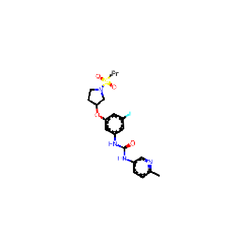 Cc1ccc(NC(=O)Nc2cc(F)cc(OC3CCN(S(=O)(=O)C(C)C)C3)c2)cn1